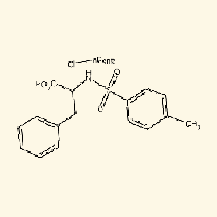 CCCCCCl.Cc1ccc(S(=O)(=O)NC(Cc2ccccc2)C(=O)O)cc1